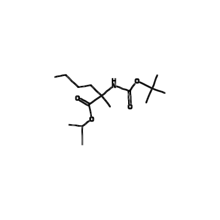 CCCCC(C)(NC(=O)OC(C)(C)C)C(=O)OC(C)C